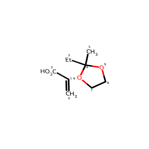 C=CC(=O)O.CCC1(C)OCCO1